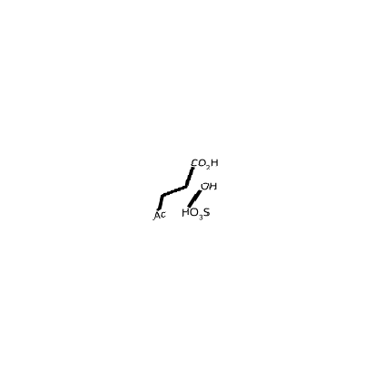 CC(=O)CCC(=O)O.O=S(=O)(O)O